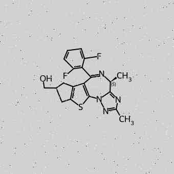 Cc1nc2n(n1)-c1sc3c(c1C(c1c(F)cccc1F)=N[C@H]2C)CC(CO)C3